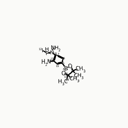 CC1(C)OB(c2ccc(N(N)PI)c(N)c2)OC1(C)C